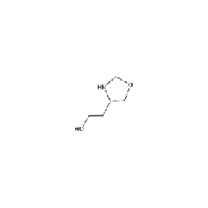 OCCC1COCN1